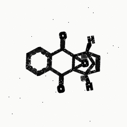 O=C1c2ccccc2C(=O)C23OC12[C@@H]1C=C[C@H]3C1